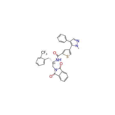 Cn1ncc(-c2ccccc2)c1-c1csc(C(=O)N[C@@H](Cc2ccccc2C(F)(F)F)CN2C(=O)c3ccccc3C2=O)c1